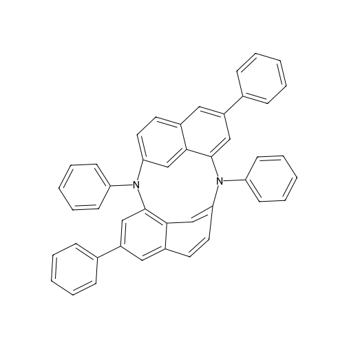 c1ccc(-c2cc3ccc4cc3c(c2)n(-c2ccccc2)c2ccc3cc(-c5ccccc5)cc(c3c2)n4-c2ccccc2)cc1